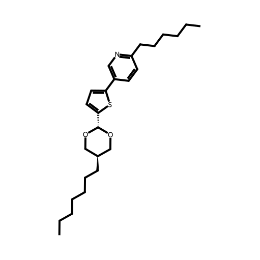 CCCCCCC[C@H]1CO[C@H](c2ccc(-c3ccc(CCCCCC)nc3)s2)OC1